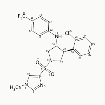 Cn1cnc(S(=O)(=O)N2C[C@H](Nc3ccc(C(F)(F)F)cc3)[C@@H](c3ccccc3Cl)C2)c1